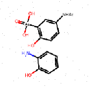 CC(=O)Nc1ccc(O)c([As](=O)(O)O)c1.Nc1ccccc1O